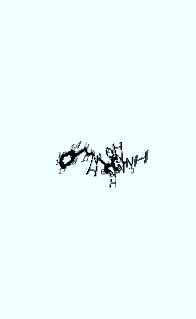 CNc1nc2[nH]cc(CNCCCc3ccccc3)c2c(=O)[nH]1